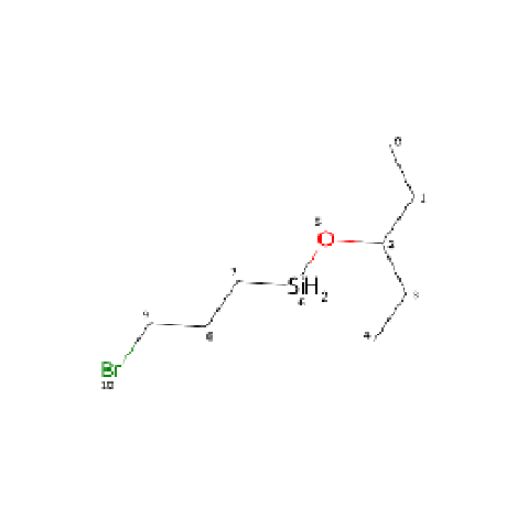 CCC(CC)O[SiH2]CCCBr